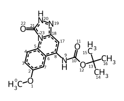 COc1ccc2c(c1)c(NC(=O)OC(C)(C)C)cc1n[nH]c(=O)n12